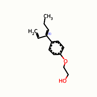 C=C/C(=C\CC)c1ccc(OCCO)cc1